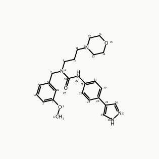 COc1cccc(CN(CCCN2CCOCC2)C(=O)Nc2ccc(-c3cn[nH]c3)cc2)c1